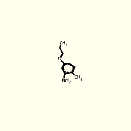 CCCOc1ccc(C)c(N)c1